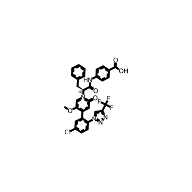 COc1cn([C@@H](Cc2ccccc2)C(=O)Nc2ccc(C(=O)O)cc2)c(=O)cc1-c1cc(Cl)ccc1-n1cc(C(F)(F)F)nn1